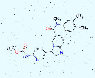 COC(=O)Nc1ccc(-c2cnc3ccc(C(=O)N(C)c4ccc(C)c(C)c4)cn23)cn1